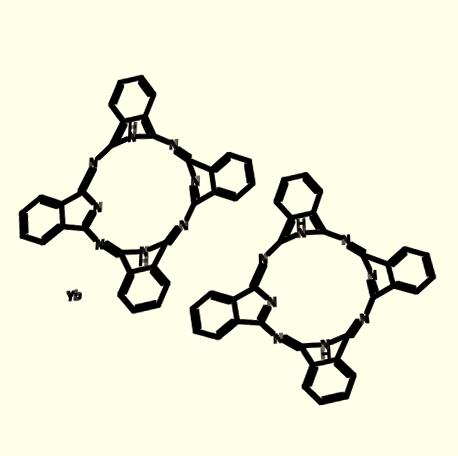 [Yb].c1ccc2c(c1)-c1nc-2nc2[nH]c(nc3nc(nc4[nH]c(n1)c1ccccc41)-c1ccccc1-3)c1ccccc21.c1ccc2c(c1)-c1nc-2nc2[nH]c(nc3nc(nc4[nH]c(n1)c1ccccc41)-c1ccccc1-3)c1ccccc21